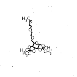 COCCOCCOCC1OC2OC(C)(C)OC2C2OC(C)(C)OC12